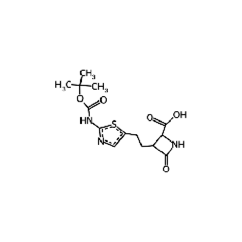 CC(C)(C)OC(=O)Nc1ncc(CCC2C(=O)NC2C(=O)O)s1